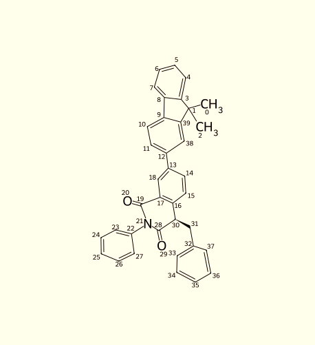 CC1(C)c2ccccc2-c2ccc(-c3ccc4c(c3)C(=O)N(c3ccccc3)C(=O)[C@@H]4Cc3ccccc3)cc21